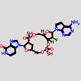 C[C@@]12C[C@@H](COP(=O)(S)O[C@H]3[C@H](F)[C@H](n4ccc5c(N)ncnc54)O[C@@H]3COP1(=O)S)O[C@H]2n1cnc2c(=O)[nH]ccc21